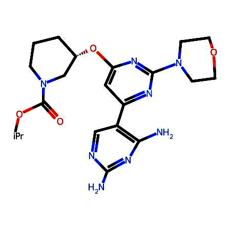 CC(C)OC(=O)N1CCC[C@H](Oc2cc(-c3cnc(N)nc3N)nc(N3CCOCC3)n2)C1